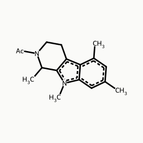 CC(=O)N1CCc2c(n(C)c3cc(C)cc(C)c23)C1C